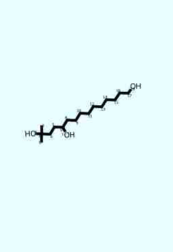 CC(C)(O)CCC(O)CCCCCCCCCCO